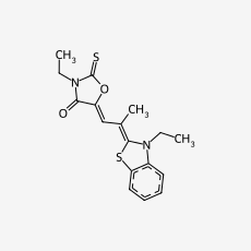 CCN1C(=O)C(=CC(C)=C2Sc3ccccc3N2CC)OC1=S